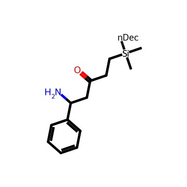 CCCCCCCCCC[Si](C)(C)CCC(=O)CC(N)c1ccccc1